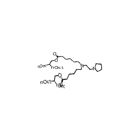 CCCCCCCCCCC(CCCCCCCC)COC(=O)CCCCCN(CCCCCC(=O)OCC(CCCCCCCC)CCCCCCCCCC)CCN1CCCC1